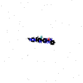 CCN1CCN(C(C)(CC)c2cnc(-c3ccc(C(=O)Nc4ccccc4N)cc3)c(F)c2)CC1